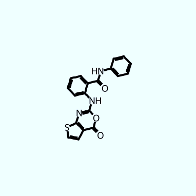 O=C(Nc1ccccc1)c1ccccc1Nc1nc2sccc2c(=O)o1